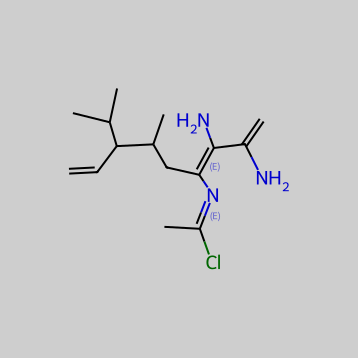 C=CC(C(C)C)C(C)CC(/N=C(\C)Cl)=C(\N)C(=C)N